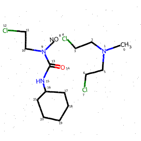 CN(CCCl)CCCl.O=NN(CCCl)C(=O)NC1CCCCC1